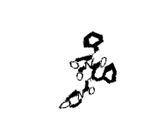 O=C(C[C@@H](Cc1ccccc1)C(=O)N1C(=O)OC[C@@H]1Cc1ccccc1)N1CCOCC1